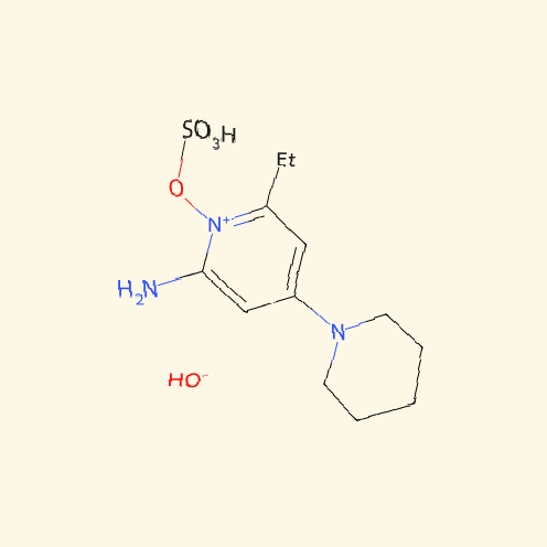 CCc1cc(N2CCCCC2)cc(N)[n+]1OS(=O)(=O)O.[OH-]